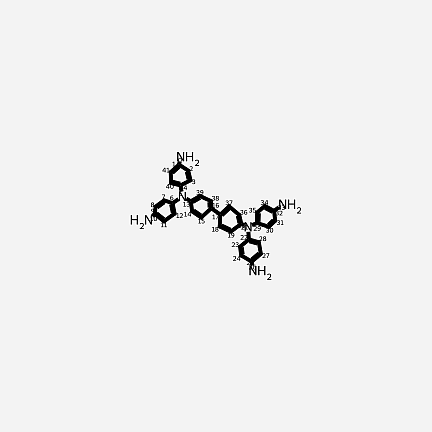 Nc1ccc(N(c2ccc(N)cc2)c2ccc(-c3ccc(N(c4ccc(N)cc4)c4ccc(N)cc4)cc3)cc2)cc1